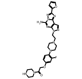 Nc1nc2c(cnn2CCN2CCN(c3ccc(OCC(=O)N4CCNCC4)cc3F)CC2)c2nc(-c3ccco3)nn12